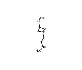 CNCCN1CC(OC)C1